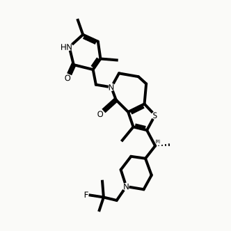 Cc1cc(C)c(CN2CCCc3sc([C@H](C)C4CCN(CC(C)(C)F)CC4)c(C)c3C2=O)c(=O)[nH]1